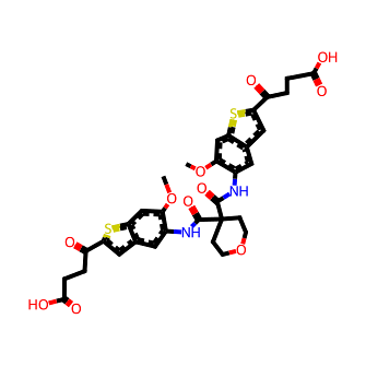 COc1cc2sc(C(=O)CCC(=O)O)cc2cc1NC(=O)C1(C(=O)Nc2cc3cc(C(=O)CCC(=O)O)sc3cc2OC)CCOCC1